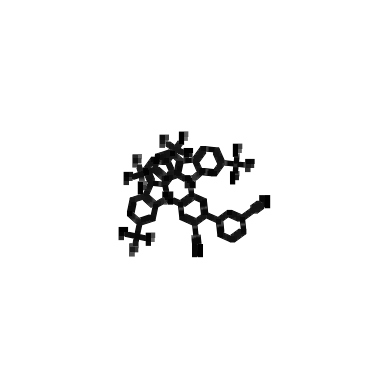 N#Cc1cccc(-c2cc(-n3c4cc(C(F)(F)F)ccc4c4ccc(C(F)(F)F)cc43)c(-n3c4cc(C(F)(F)F)ccc4c4ccc(C(F)(F)F)cc43)cc2C#N)c1